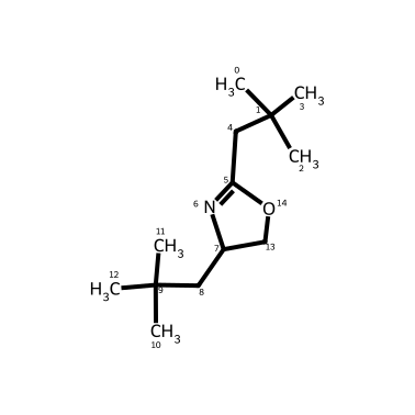 CC(C)(C)CC1=NC(CC(C)(C)C)CO1